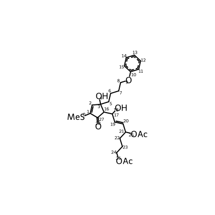 CSC1=CC(O)(CCCCOc2ccccc2)C(C(O)C=CC(CCCOC(C)=O)OC(C)=O)C1=O